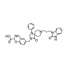 NC(Oc1ccc(CN2CN(c3ccccc3)C3(CCN(CCCn4c(=O)[nH]c5ccccc54)CC3)C2=O)cc1)C(=O)O